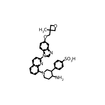 CC1(COc2ccc3c(c2)ncn3-c2ccc3cccc(N4CCC(N)C(c5ccc(S(=O)(=O)O)cc5)C4)c3n2)COC1